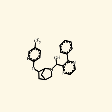 OC(c1nccnc1-c1ccccc1)N1CC2CC(Oc3ccc(C(F)(F)F)cn3)C1C2